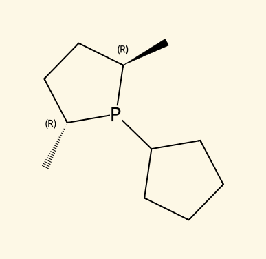 C[C@@H]1CC[C@@H](C)P1C1CCCC1